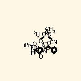 [2H]C[C@H](COP(C)OCCC#N)O[C@H](COC(=O)c1ccccc1)n1cnc2c(=O)[nH]c(NC(=O)C(C)C)nc21